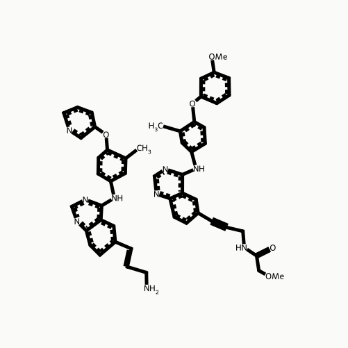 COCC(=O)NCC#Cc1ccc2ncnc(Nc3ccc(Oc4cccc(OC)c4)c(C)c3)c2c1.Cc1cc(Nc2ncnc3ccc(C=CCN)cc23)ccc1Oc1cccnc1